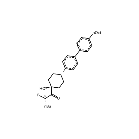 CCCCCCCCc1ccc(-c2ccc([C@H]3CC[C@@](O)(C(=O)[C@@H](F)CCCC)CC3)cc2)nc1